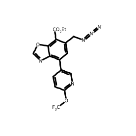 CCOC(=O)c1c(CN=[N+]=[N-])cc(-c2ccc(OC(F)(F)F)nc2)c2ncoc12